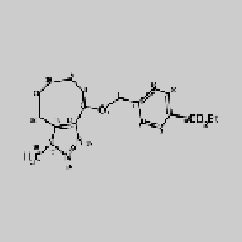 CCOC(=O)c1ccc(COC2CCCCCc3c2nnn3C)cc1